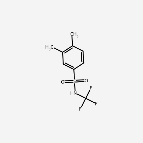 Cc1ccc(S(=O)(=O)NC(F)(F)F)cc1C